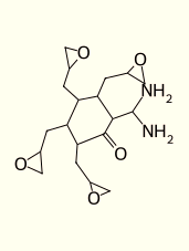 NC(N)C1C(=O)C(CC2CO2)C(CC2CO2)C(CC2CO2)C1CC1CO1